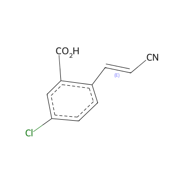 N#C/C=C/c1ccc(Cl)cc1C(=O)O